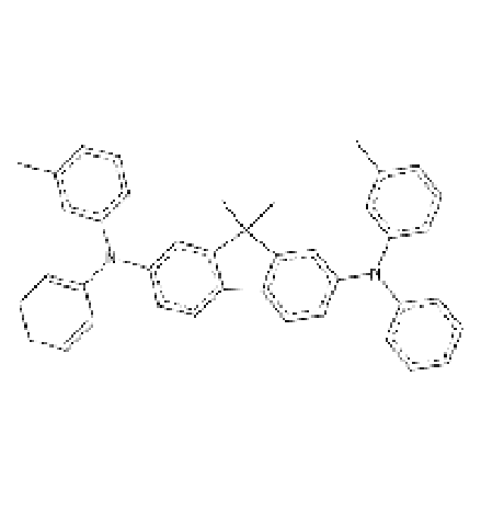 Cc1cccc(N(C2=CCCC=C2)c2ccc3c(c2)C(C)(C)c2cc(N(c4ccccc4)c4cccc(C)c4)ccc2-3)c1